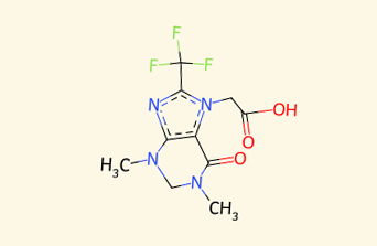 CN1CN(C)c2nc(C(F)(F)F)n(CC(=O)O)c2C1=O